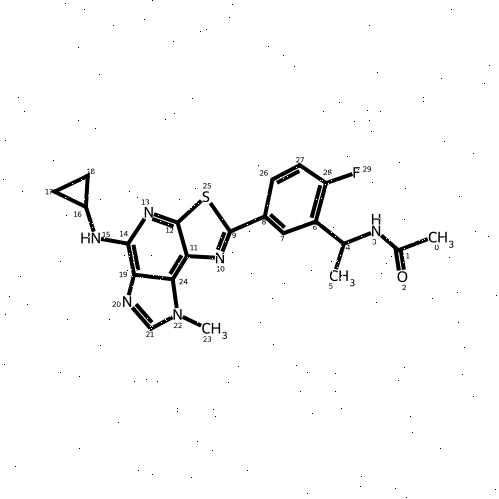 CC(=O)NC(C)c1cc(-c2nc3c(nc(NC4CC4)c4ncn(C)c43)s2)ccc1F